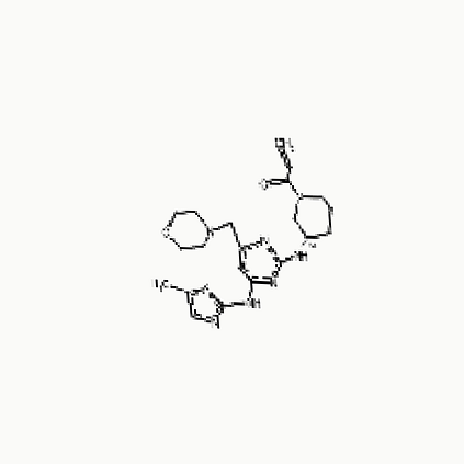 C=CC(=O)N1CCC[C@H](Nc2nc(CN3CCOCC3)cc(Nc3ncc(C)s3)n2)C1